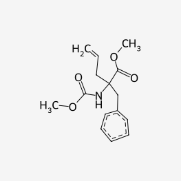 C=CCC(Cc1ccccc1)(NC(=O)OC)C(=O)OC